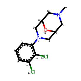 CN1CC2CN(c3cccc(Cl)c3Cl)CC(C1)O2